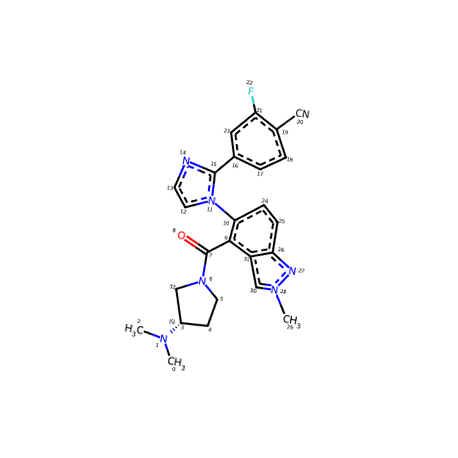 CN(C)[C@H]1CCN(C(=O)c2c(-n3ccnc3-c3ccc(C#N)c(F)c3)ccc3nn(C)cc23)C1